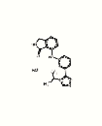 CC(C)n1cnnc1-c1cccc(Nc2cccc3c2C(=O)NC3)n1.Cl